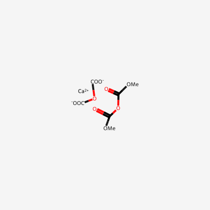 COC(=O)OC(=O)OC.O=C([O-])OC(=O)[O-].[Ca+2]